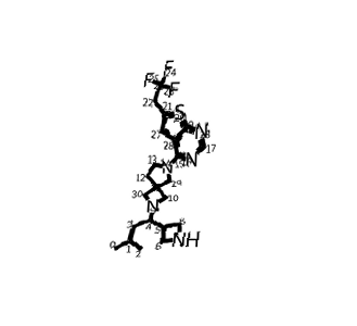 CC(C)CC(C1CNC1)N1CC2(CCN(c3ncnc4sc(CC(F)(F)F)cc34)C2)C1